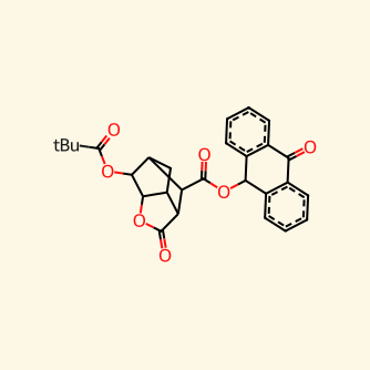 CC(C)(C)C(=O)OC1C2CC3C1OC(=O)C3C2C(=O)OC1c2ccccc2C(=O)c2ccccc21